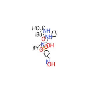 CC[C@H](C)[C@H](NC(=O)O)C(=O)N[C@@H](Cc1ccccc1)[C@H](O)CN(CC(C)C)S(=O)(=O)c1ccc(C=NO)cc1